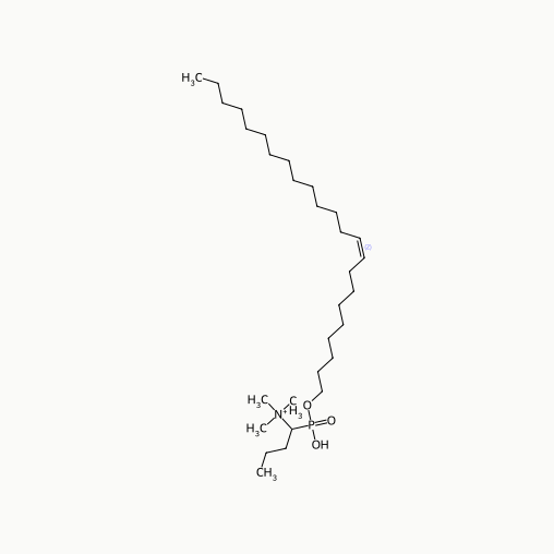 CCCCCCCCCCCCC/C=C\CCCCCCCCOP(=O)(O)C(CCC)[N+](C)(C)C